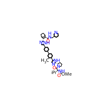 COC(=O)N[C@H](C(=O)N1CCC[C@H]1c1ncc(-c2ccc(-c3ccc(-c4cnc([C@@H]5C6CCC(C6)[C@H]5C(=O)NCc5cccnc5)[nH]4)cc3)cc2C)[nH]1)C(C)C